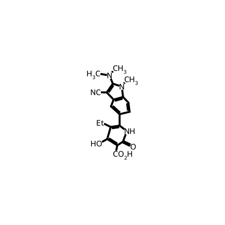 CCc1c(-c2ccc3c(c2)c(C#N)c(N(C)C)n3C)[nH]c(=O)c(C(=O)O)c1O